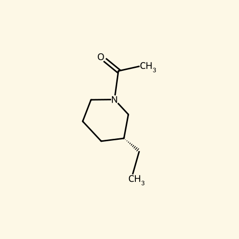 CC[C@@H]1CCCN(C(C)=O)C1